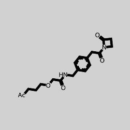 CC(=O)CCCOCC(=O)NCc1ccc(CC(=O)N2CCC2=O)cc1